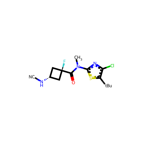 CN(c1nc(Cl)c(C(C)(C)C)s1)C(=O)[C@]1(F)C[C@H](NC#N)C1